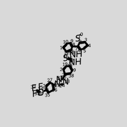 CSc1ccccc1-c1ccccc1NC(=S)Nc1ccc(-c2ncn(-c3ccc(OC(F)(F)F)cc3)n2)cc1